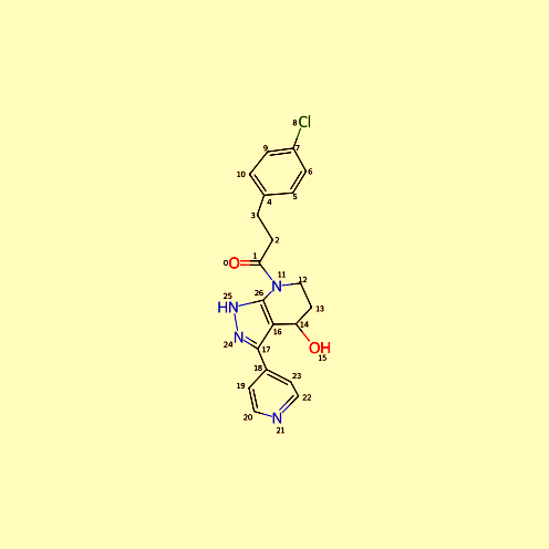 O=C(CCc1ccc(Cl)cc1)N1CCC(O)c2c(-c3ccncc3)n[nH]c21